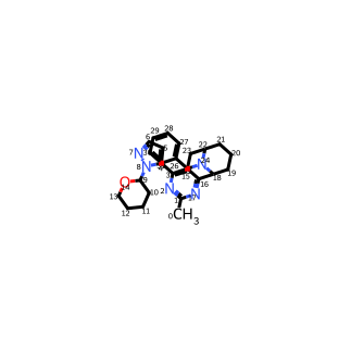 Cc1nc(-c2ccnn2C2CCCCO2)c2c(n1)C1CCCC(C2)N1Cc1ccccc1